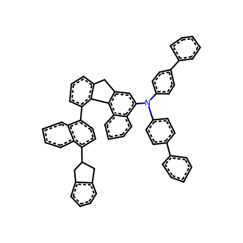 c1ccc(-c2ccc(N(c3ccc(-c4ccccc4)cc3)c3cc4c(c5ccccc35)-c3c(cccc3-c3ccc(C5Cc6ccccc6C5)c5ccccc35)C4)cc2)cc1